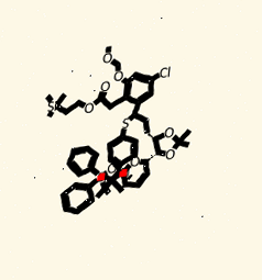 COCOc1cc(Cl)cc(C(CC[C@@H]2OC(C)(C)O[C@@H]2C(/C=C\[C@@H](C)C(C)O[Si](c2ccccc2)(c2ccccc2)C(C)(C)C)O[Si](C)(C)C(C)(C)C)Sc2ccccc2)c1CC(=O)OCC[Si](C)(C)C